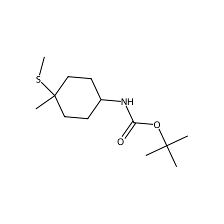 CSC1(C)CCC(NC(=O)OC(C)(C)C)CC1